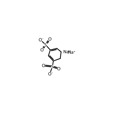 O=S(=O)([O-])C1=CCCC(S(=O)(=O)[O-])=C1.[Na+].[Na+]